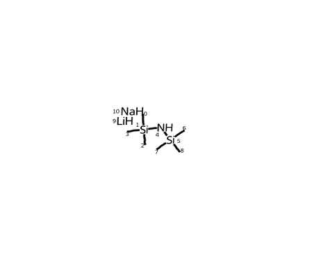 C[Si](C)(C)N[Si](C)(C)C.[LiH].[NaH]